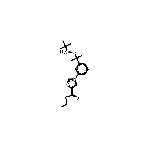 CCOC(=O)c1cn(-c2cccc(C(C)(C)O[SiH2]C(C)(C)C)c2)cn1